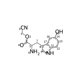 N#CCOC(=O)C(N)Cc1c[nH]c2ccc(O)cc12